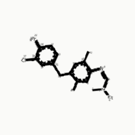 CCN(C)/C=N\c1cc(C)c(Cc2ccc(C(C)C)c(Cl)c2)cc1C